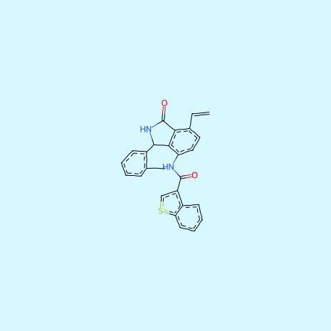 C=Cc1ccc(NC(=O)c2csc3ccccc23)c2c1C(=O)NC2c1ccccc1C